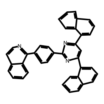 c1ccc2c(-c3cc(-c4cccc5ccccc45)nc(-c4ccc(-c5nccc6ccccc56)cc4)n3)cccc2c1